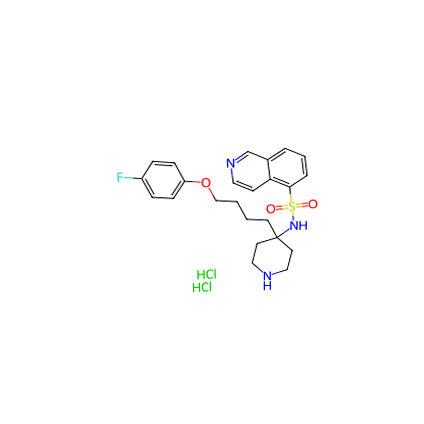 Cl.Cl.O=S(=O)(NC1(CCCCOc2ccc(F)cc2)CCNCC1)c1cccc2cnccc12